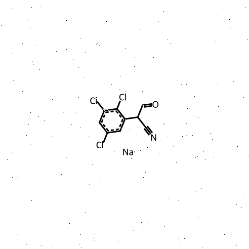 N#CC(C=O)c1cc(Cl)cc(Cl)c1Cl.[Na]